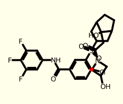 O=C(Nc1cc(F)c(F)c(F)c1)c1ccc(Cl)c(S(=O)(=O)C2CC3CCC(C2)C3(O)CC(=O)N2CC(O)C2)c1